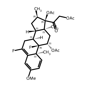 COC1=CC2=C(F)C[C@H]3[C@@H]4C[C@@H](C)[C@](OC(C)=O)(C(=O)COC(C)=O)[C@@]4(C)C[C@H](OC(C)=O)[C@]3(F)[C@@]2(C)C=C1